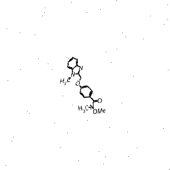 CON(C)C(=O)c1ccc(OCc2nc3ccccc3n2C)cc1